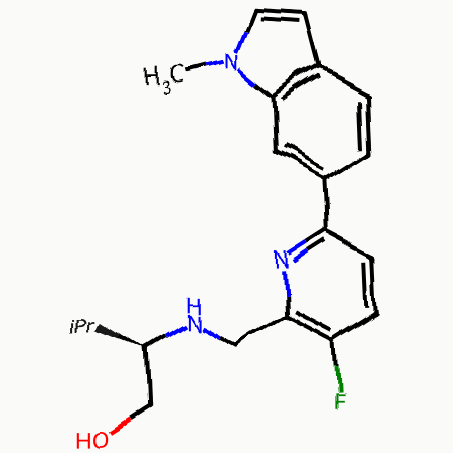 CC(C)[C@H](CO)NCc1nc(-c2ccc3ccn(C)c3c2)ccc1F